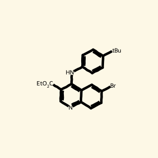 CCOC(=O)c1cnc2ccc(Br)cc2c1Nc1ccc(C(C)(C)C)cc1